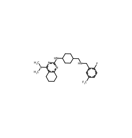 CN(C)c1nc(NC2CCC(CNCc3cc(C(F)(F)F)ccc3F)CC2)nc2c1CCCC2